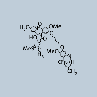 C=C1CC2C(O)N(C(=O)OCC(C)SSC)c3cc(OCCCCCOc4cc5c(cc4OC)C(=O)N4CC(=C)C[C@@H]4C=N5)c(OC)cc3C(=O)N2C1